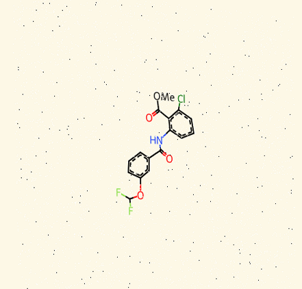 COC(=O)c1c(Cl)cccc1NC(=O)c1cccc(OC(F)F)c1